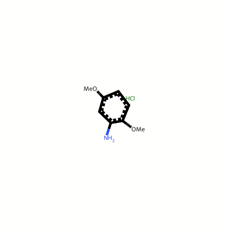 COc1ccc(OC)c(N)c1.Cl